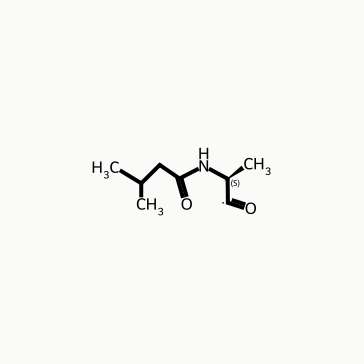 CC(C)CC(=O)N[C@@H](C)[C]=O